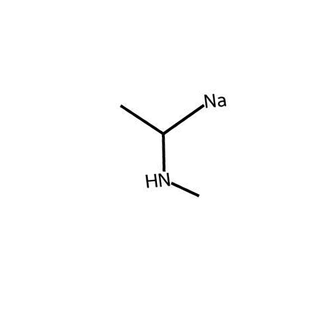 CN[CH](C)[Na]